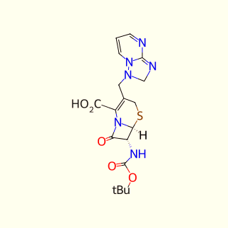 CC(C)(C)OC(=O)N[C@@H]1C(=O)N2C(C(=O)O)=C(CN3CN=C4N=CC=CN43)CS[C@@H]12